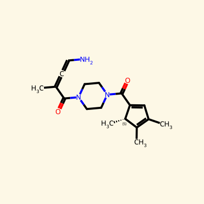 CC(=C=CN)C(=O)N1CCN(C(=O)C2=CC(C)=C(C)[C@@H]2C)CC1